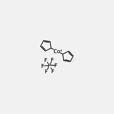 C1=C[CH]([Co+][CH]2C=CC=C2)C=C1.F[P-](F)(F)(F)(F)F